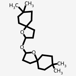 CC1(C)CCC2(CCC(OC3CCC4(CCC(C)(C)CC4)O3)O2)CC1